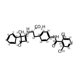 CC1(c2ccccc2)C(=O)C=C1N[C@@H](Cc1ccc(NC(=O)c2c(Cl)cncc2Cl)cc1)C(=O)O